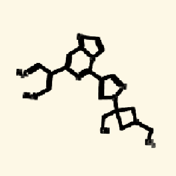 C=C/C(=C\NC)c1cc2nccn2c(-c2cnn(C3(CC#N)CN(CC(F)(F)F)C3)c2)n1